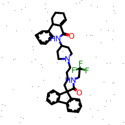 O=C(NC1CCN(CCCCC2(C(=O)NCC(F)(F)F)c3ccccc3-c3ccccc32)CC1)C1=CCCCC1c1ccccc1